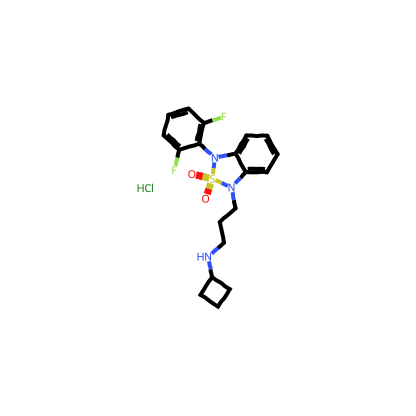 Cl.O=S1(=O)N(CCCNC2CCC2)c2ccccc2N1c1c(F)cccc1F